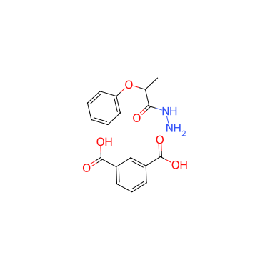 CC(Oc1ccccc1)C(=O)NN.O=C(O)c1cccc(C(=O)O)c1